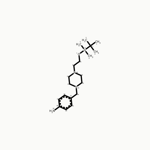 CC(C)(C)[Si](C)(C)OCCN1CCN(Cc2ccc(N)cc2)CC1